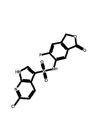 O=C1OCc2cc(F)c(NS(=O)(=O)c3c[nH]c4nc(Cl)ccc34)cc21